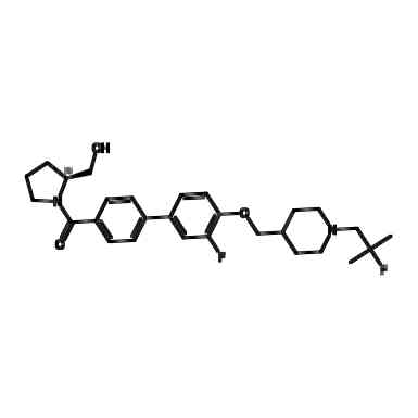 CC(C)(F)CN1CCC(COc2ccc(-c3ccc(C(=O)N4CCC[C@H]4CO)cc3)cc2F)CC1